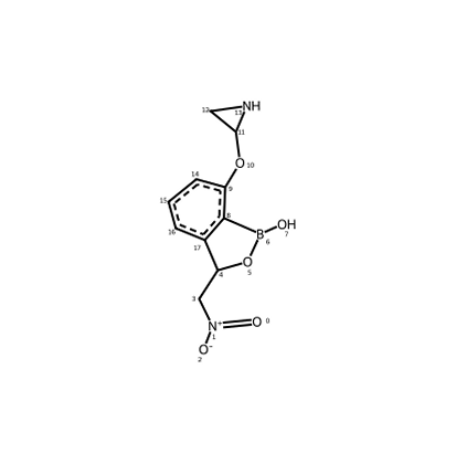 O=[N+]([O-])CC1OB(O)c2c(OC3CN3)cccc21